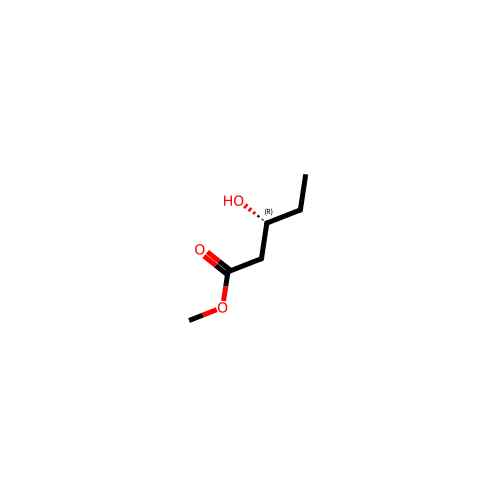 CC[C@@H](O)CC(=O)OC